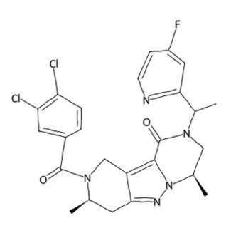 CC(c1cc(F)ccn1)N1C[C@@H](C)n2nc3c(c2C1=O)CN(C(=O)c1ccc(Cl)c(Cl)c1)[C@H](C)C3